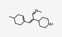 C/N=C\C(=C/C1=CCC(C)CC1)C1CCNCC1